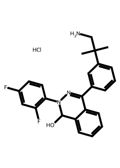 CC(C)(CN)c1cccc(C2=NN(c3ccc(F)cc3F)C(O)c3ccccc32)c1.Cl